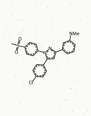 CNc1cccc(-c2cc(-c3ccc(Cl)cc3)n(-c3ccc(S(C)(=O)=O)cc3)n2)c1